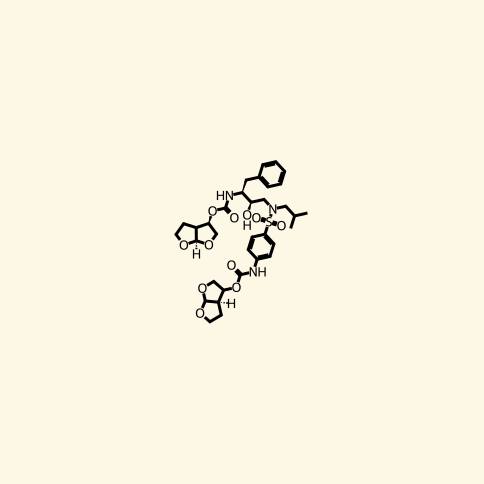 CC(C)CN(C[C@@H](O)[C@H](Cc1ccccc1)NC(=O)O[C@H]1CO[C@H]2OCCC21)S(=O)(=O)c1ccc(NC(=O)OC2COC3OCC[C@H]23)cc1